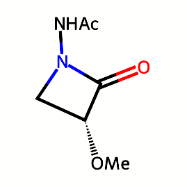 CO[C@@H]1CN(NC(C)=O)C1=O